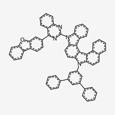 c1ccc(-c2cc(-c3ccccc3)cc(-n3c4ccc5ccccc5c4c4c5c6ccccc6n(-c6nc(-c7ccc8c(c7)oc7ccccc78)c7ccccc7n6)c5ccc43)c2)cc1